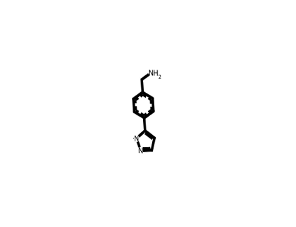 NCc1ccc(C2=CC=N[N]2)cc1